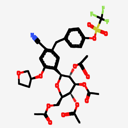 CC(=O)OC[C@H]1O[C@@H](c2cc(Cc3ccc(OS(=O)(=O)C(F)(F)F)cc3)c(C#N)cc2O[C@H]2CCOC2)[C@H](OC(C)=O)[C@@H](OC(C)=O)[C@@H]1OC(C)=O